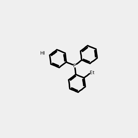 CCc1ccccc1P(c1ccccc1)c1ccccc1.I